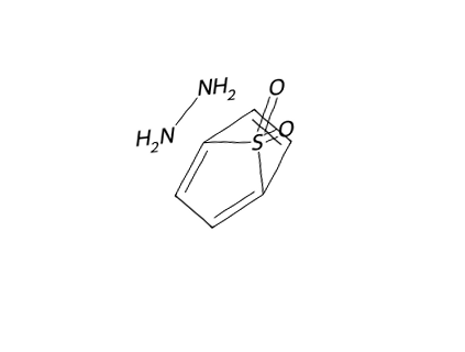 NN.O=S1(=O)C2=CC=C1C=C2